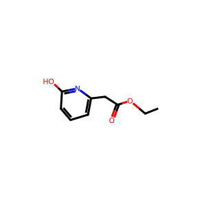 CCOC(=O)Cc1cccc(O)n1